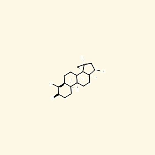 C[C@]12CC[C@H]3[C@@H](CCC4=C(Cl)C(=O)CC[C@@H]43)[C@@]13C[C@H]3C[C@H]2O